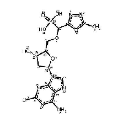 Cc1nnc(C(OC[C@H]2O[C@@H](n3cnc4c(N)nc(Cl)nc43)C[C@@H]2O)P(=O)(O)O)o1